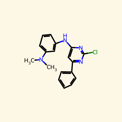 CN(C)c1cccc(Nc2cc(-c3ccccc3)nc(Cl)n2)c1